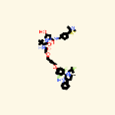 Cc1ncsc1-c1ccc(CNC(=O)[C@@H]2C[C@@H](O)CN2C(=O)C(NC(=O)COCC#CCOc2cc(F)c([C@@H]3c4[nH]c5ccccc5c4C[C@@H](C)N3CC(C)(C)F)c(F)c2)C(C)(C)C)cc1